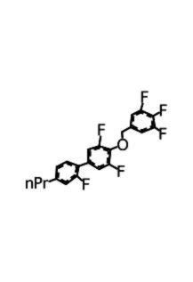 CCCc1ccc(-c2cc(F)c(OCc3cc(F)c(F)c(F)c3)c(F)c2)c(F)c1